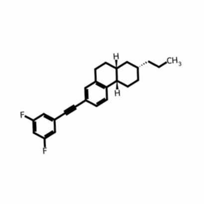 CCC[C@@H]1CC[C@@H]2c3ccc(C#Cc4cc(F)cc(F)c4)cc3CC[C@@H]2C1